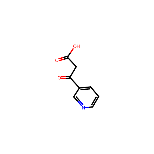 O=C(O)CC(=O)c1cccnc1